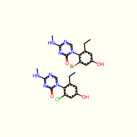 CCc1cc(O)cc(Br)c1-n1cnc(NC)nc1=O.CCc1cc(O)cc(Cl)c1-n1cnc(NC)nc1=O